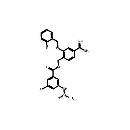 C[S+]([O-])Nc1cc(Cl)cc(C(=O)NCc2ccc(C(=N)N)cc2NCc2ccccc2F)c1